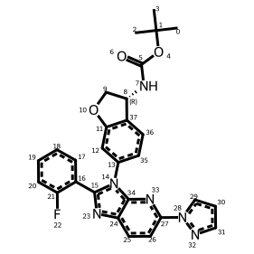 CC(C)(C)OC(=O)N[C@H]1COc2cc(-n3c(-c4ccccc4F)nc4ccc(-n5cccn5)nc43)ccc21